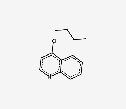 CCCC.Clc1ccnc2ccccc12